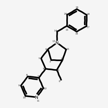 CC1C2CC(CC1c1cccnc1)N(Cc1ccccc1)C2